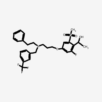 CC(O)c1c(F)cc(OCCCN(CCc2ccccc2)Cc2cccc(C(F)(F)F)c2)cc1S(C)(=O)=O